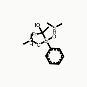 CCC(C)(O)[Si](O[SiH](C)C)(O[SiH](C)C)c1ccccc1